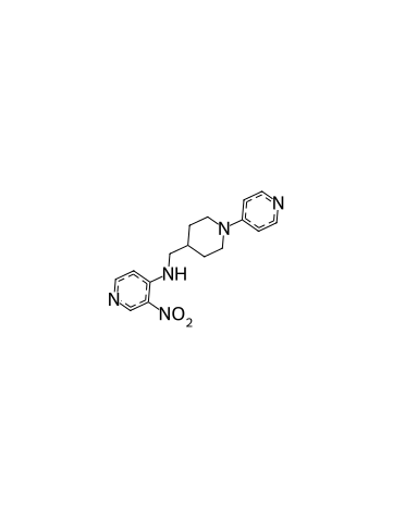 O=[N+]([O-])c1cnccc1NCC1CCN(c2ccncc2)CC1